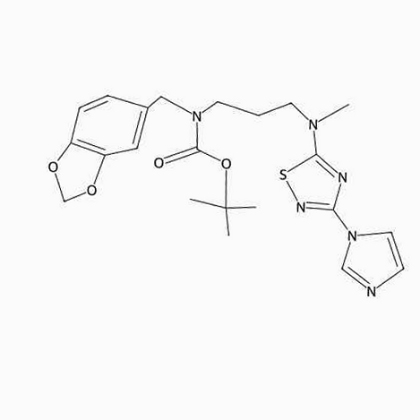 CN(CCCN(Cc1ccc2c(c1)OCO2)C(=O)OC(C)(C)C)c1nc(-n2ccnc2)ns1